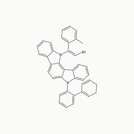 Cc1ccccc1/C(=C\S)n1c2ccccc2c2ccc3c(c4ccccc4n3-c3ccccc3C3=CCCC=C3)c21